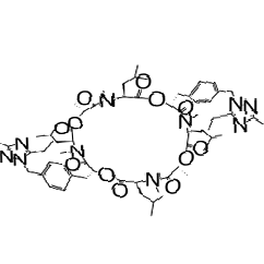 CCc1nc(C)nn1Cc1ccc(C[C@H]2OC(=O)[C@H](CC(C)C)N(C)C(=O)[C@@H](C)OC(=O)[C@H](CC(C)C)N(C)C(=O)[C@@H](Cc3ccc(Cn4nc(C)nc4CC)cc3)OC(=O)[C@H](CC(C)C)N(C)C(=O)[C@@H](C)OC(=O)[C@H](CC(C)C)N(C)C2=O)cc1